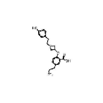 BCCc1ccc(OC2CN(CCc3ccc(O)cc3)C2)c(C(=O)O)c1